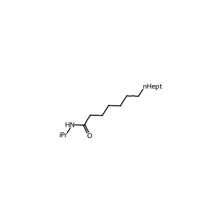 [CH2]C(C)NC(=O)CCCCCCCCCCCCC